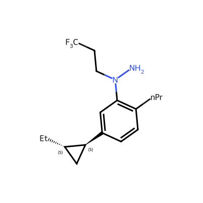 CCCc1ccc([C@H]2C[C@@H]2CC)cc1N(N)CCC(F)(F)F